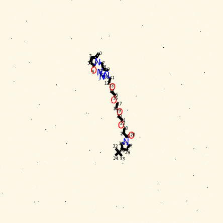 C=C1C=CC(=O)N1Cc1cn(CCOCCOCCOCCOCCC(=O)N2CC[C@H](C(C)(C)C)C2)nn1